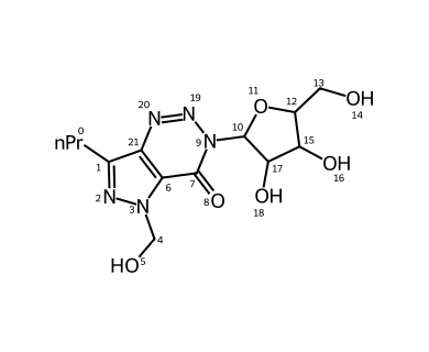 CCCc1nn(CO)c2c(=O)n(C3OC(CO)C(O)C3O)nnc12